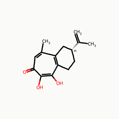 C=C(C)[C@@H]1CCc2c(O)c(O)c(=O)cc(C)c2C1